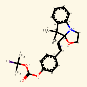 CC(C)(I)OC(=O)Oc1ccc(/C=C/C23OCCN2c2ccccc2C3(C)C)cc1